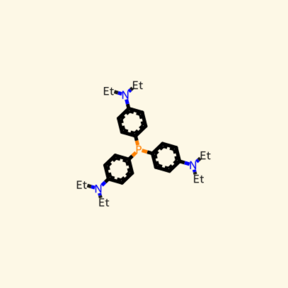 CCN(CC)c1ccc(P(c2ccc(N(CC)CC)cc2)c2ccc(N(CC)CC)cc2)cc1